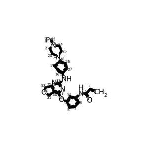 C=CC(=O)Nc1cccc(Oc2nc(Nc3ccc(N4CCN(C(C)C)CC4)cc3)nc3c2COC3)c1